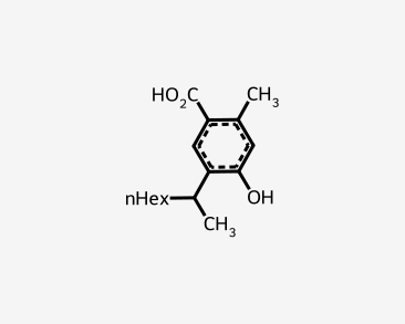 CCCCCCC(C)c1cc(C(=O)O)c(C)cc1O